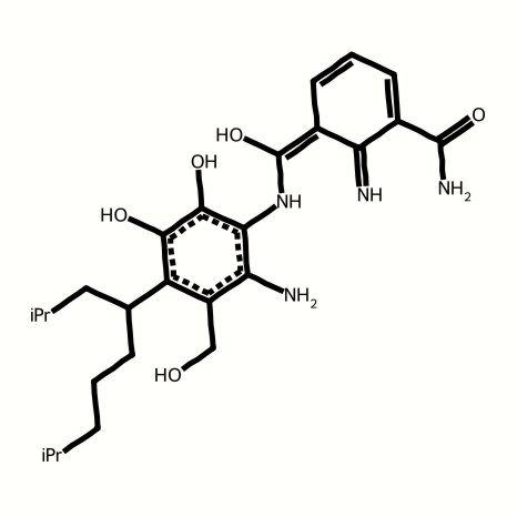 CC(C)CCCC(CC(C)C)c1c(O)c(O)c(N/C(O)=C2/C=CC=C(C(N)=O)C2=N)c(N)c1CO